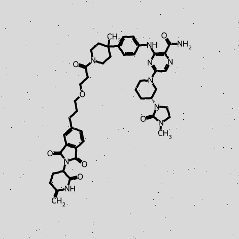 C=C1CCC(N2C(=O)c3ccc(CCCOCCC(=O)N4CCC(C)(c5ccc(Nc6nc(N7CCC[C@@H](N8CCN(C)C8=O)C7)cnc6C(N)=O)cc5)CC4)cc3C2=O)C(=O)N1